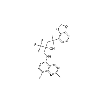 Cc1ncc2c(NCC(O)(CC(C)(C)c3cccc4c3OCO4)C(F)(F)F)ccc(F)c2n1